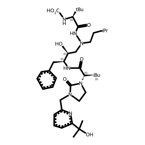 CC[C@H](C)[C@@H](C(=O)N[C@@H](Cc1ccccc1)[C@@H](O)CN(CCC(C)C)NC(=O)[C@@H](NC(=O)O)C(C)(C)C)N1CCN(Cc2cccc(C(C)(C)O)n2)C1=O